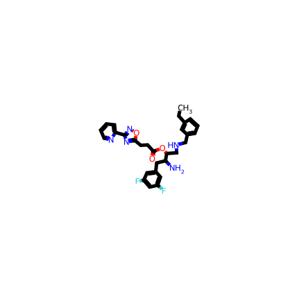 CCc1cccc(CNCC(OC(=O)CCc2nc(-c3ccccn3)no2)C(N)Cc2cc(F)cc(F)c2)c1